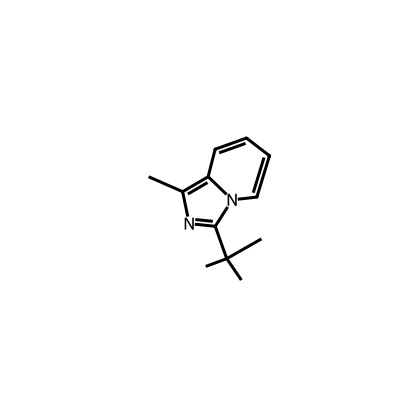 Cc1nc(C(C)(C)C)n2ccccc12